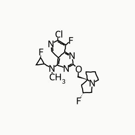 CN(c1nc(OC[C@@]23CCCN2C[C@H](F)C3)nc2c(F)c(Cl)ncc12)C1C[C@@H]1F